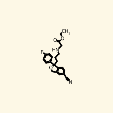 CCOC(=O)CNCCCC1(c2ccc(F)cc2)OCc2cc(C#N)ccc21